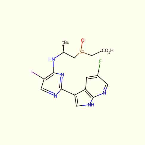 CC(C)(C)[C@@H](C[S+]([O-])CC(=O)O)Nc1nc(-c2c[nH]c3ncc(F)cc23)ncc1I